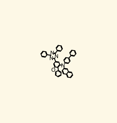 c1ccc(-c2ccc(N(c3ccc4ccccc4c3)c3cc(-c4nc(-c5ccccc5)nc(-c5ccccc5)n4)cc4oc5ccccc5c34)cc2)cc1